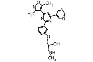 CNCC(O)COc1cccc(-c2nc(-c3cncnc3)cc(-c3c(C)noc3C)n2)c1